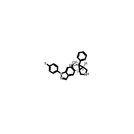 Cc1cc2c(cnn2-c2ccc(F)cc2)cc1[C@@]12CNC[C@@H]1[C@@]2(C)c1ccccc1